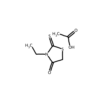 CC(=O)O.CCN1C(=O)CSC1=S